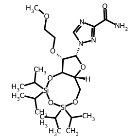 COCCO[C@H]1C2O[Si](C(C)C)(C(C)C)O[Si](C(C)C)(C(C)C)OC[C@H]2O[C@H]1n1cnc(C(N)=O)n1